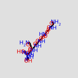 C/C(=N\O)C(C)(C)NCC(CNC(C)(C)/C(C)=N/O)NC(=O)CCCC(=O)N[C@@H](CCCCNC(=O)CCCC(=O)NCCOCCOCC(=O)NCCOCCOCC(=O)NCCCC[C@H](C)C(N)=O)C(=O)CCCCC[C@H](C)C(N)=O